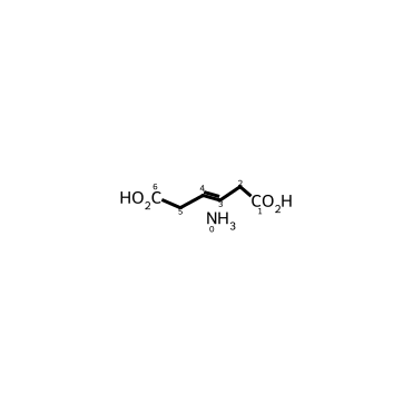 N.O=C(O)C/C=C/CC(=O)O